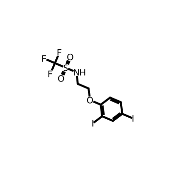 O=S(=O)(NCCOc1ccc(I)cc1I)C(F)(F)F